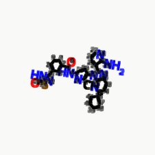 Cc1nc(NC(=O)c2cccc(-c3nsc(=O)[nH]3)c2)ccc1-n1c(-c2cccnc2N)nc2ccc(-c3ccccc3)nc21